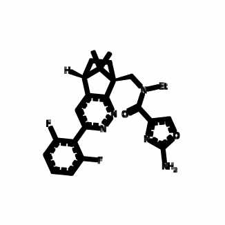 CCN(C[C@@]12CC[C@@H](c3cc(-c4c(F)cccc4F)nnc31)C2(C)C)C(=O)c1coc(N)n1